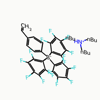 C=Cc1ccc([B-](c2c(F)c(F)c(F)c(F)c2F)(c2c(F)c(F)c(F)c(F)c2F)c2c(F)c(F)c(F)c(F)c2F)cc1.CCCC[NH+](CCCC)CCCC